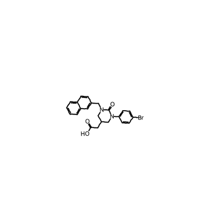 O=C(O)CC1CN(Cc2ccc3ccccc3c2)C(=O)N(c2ccc(Br)cc2)C1